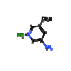 Cl.Nc1cncc(C(=O)O)c1